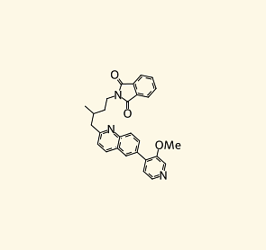 COc1cnccc1-c1ccc2nc(CC(C)CCN3C(=O)c4ccccc4C3=O)ccc2c1